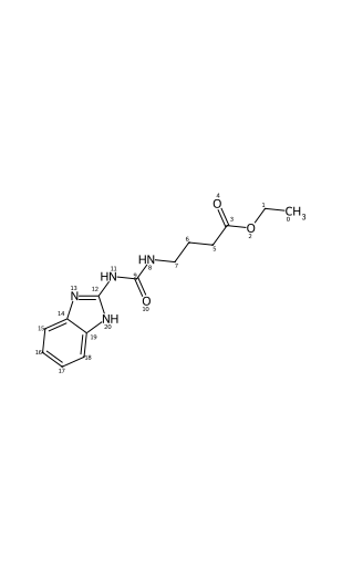 CCOC(=O)CCCNC(=O)Nc1nc2ccccc2[nH]1